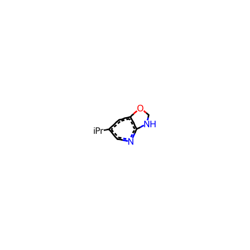 CC(C)c1cnc2c(c1)OCN2